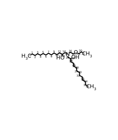 CCCCCCCCCCCCC(O)CN(CCOCCC)CC(O)CCCCCCCCCCCC